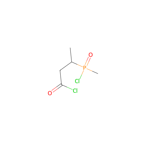 CC(CC(=O)Cl)P(C)(=O)Cl